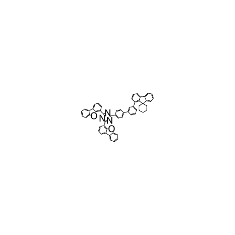 c1cc(-c2ccc(-c3nc(-c4cccc5c4oc4ccccc45)nc(-c4cccc5c4oc4ccccc45)n3)cc2)cc(-c2cccc3c2C2(CCCCC2)c2ccccc2-3)c1